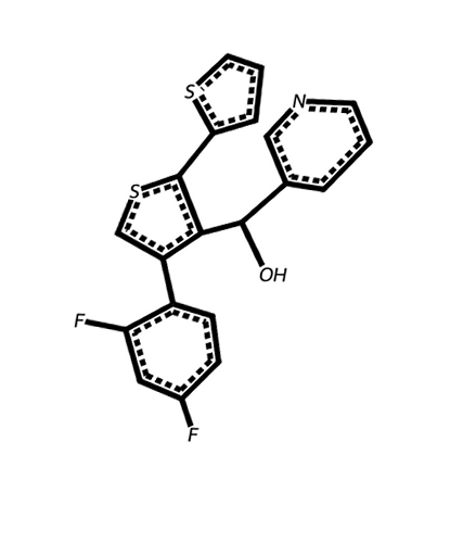 OC(c1cccnc1)c1c(-c2ccc(F)cc2F)csc1-c1cccs1